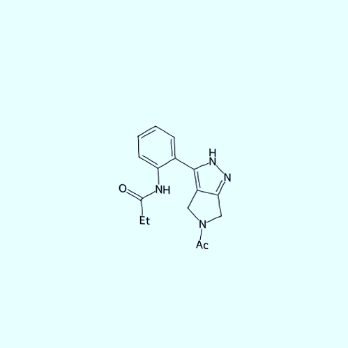 CCC(=O)Nc1ccccc1-c1[nH]nc2c1CN(C(C)=O)C2